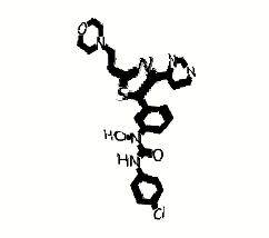 O=C(Nc1ccc(Cl)cc1)N(O)c1cccc(-c2sc(CCN3CCOCC3)nc2-c2ccncn2)c1